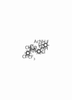 CC(=O)Nc1c(F)ccc(NC(=O)c2cc(NC(=O)C3[C@H](c4ccc(Cl)c(C(F)(F)F)c4)C3(Cl)Cl)ccc2Cl)c1Cl